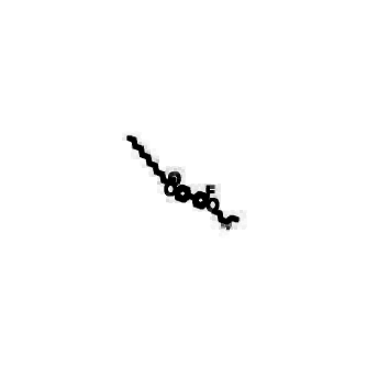 CCCCCCCCCCCC(=O)Oc1ccc(-c2ccc(OCCC[C@@H](C)CC)c(F)c2)cc1